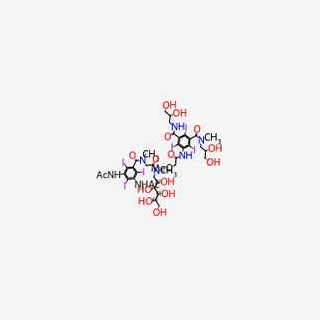 CC(=O)Nc1c(I)c(NC(C)=O)c(I)c(C(=O)N(C)CC(=O)N(C)C[C@H](O)[C@@H](O)[C@H](O)[C@H](O)CO)c1I.COCC(=O)Nc1c(I)c(C(=O)NCC(O)CO)c(I)c(C(=O)N(C)CC(O)CO)c1I